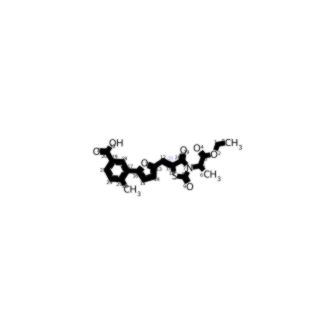 CCOC(=O)C(C)N1C(=O)S/C(=C\c2ccc(-c3cc(C(=O)O)ccc3C)o2)C1=O